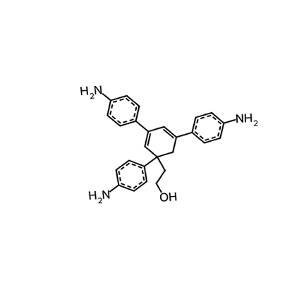 Nc1ccc(C2=CC(CCO)(c3ccc(N)cc3)CC(c3ccc(N)cc3)=C2)cc1